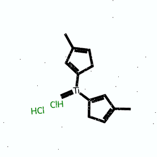 Cl.Cl.[CH2]=[Ti]([C]1=CC(C)=CC1)[C]1=CC(C)=CC1